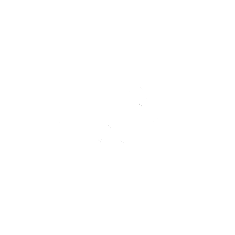 CN(CCc1ccccc1)c1nccc(C=C2C(=O)NC(=O)N2Cc2ccccc2)n1